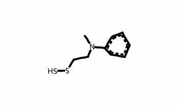 CN(CCSS)c1ccccc1